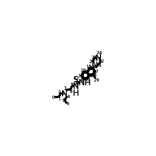 CCCN(CCC)CCCNC(=S)Nc1ccc2cc(N3CCN(C)CC3)cc(C)c2c1